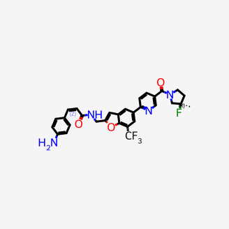 C[C@@]1(F)CCN(C(=O)c2ccc(-c3cc(C(F)(F)F)c4oc(CNC(=O)/C=C\c5ccc(N)cc5)cc4c3)nc2)C1